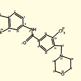 Cc1ccc(NC(=O)c2ccc(CN3CCOCC3)c(C(F)(F)F)c2)cc1Br